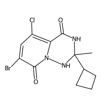 CC1(C2CCC2)NC(=O)c2c(Cl)cc(Br)c(=O)n2N1